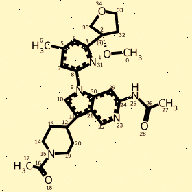 CO[C@@]1(c2cc(C)cc(-n3cc(C4CCN(C(C)=O)CC4)c4cnc(NC(C)=O)cc43)n2)CCOC1